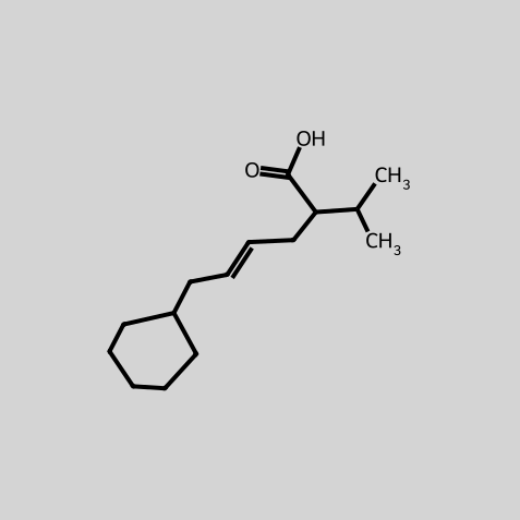 CC(C)C(CC=CCC1CCCCC1)C(=O)O